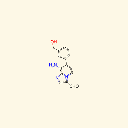 Nc1c(-c2cccc(CO)c2)ccn2c(C=O)cnc12